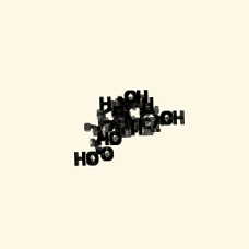 C[C@H](CCC(=O)O)[C@H]1CC[C@H]2[C@H]3[C@H](C[C@H](O)[C@]12C)[C@@]1(C)CC[C@@H](O)C[C@H]1C[C@@]3(N)O